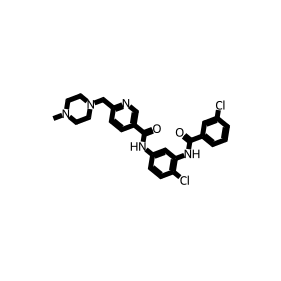 CN1CCN(Cc2ccc(C(=O)Nc3ccc(Cl)c(NC(=O)c4cccc(Cl)c4)c3)cn2)CC1